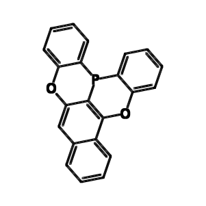 c1ccc2c(c1)Oc1cc3ccccc3c3c1P2c1ccccc1O3